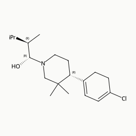 CC(C)[C@@H](C)[C@@H](O)N1CC[C@H](C2=CC=C(Cl)CC2)C(C)(C)C1